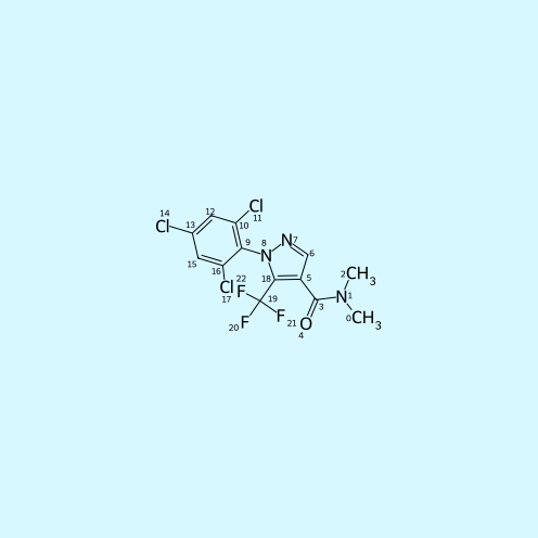 CN(C)C(=O)c1cnn(-c2c(Cl)cc(Cl)cc2Cl)c1C(F)(F)F